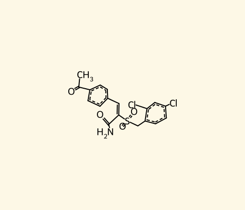 CC(=O)c1ccc(/C=C(\C(N)=O)S(=O)(=O)Cc2ccc(Cl)cc2Cl)cc1